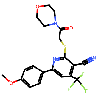 COc1ccc(-c2cc(C(F)(F)F)c(C#N)c(SCC(=O)N3CCOCC3)n2)cc1